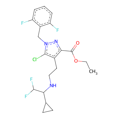 CCOC(=O)c1nn(Cc2c(F)cccc2F)c(Cl)c1CCNC(C(F)F)C1CC1